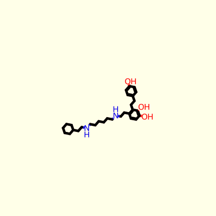 Oc1ccc(CCc2c(CCNCCCCCCNCCC3CCCCC3)ccc(O)c2O)cc1